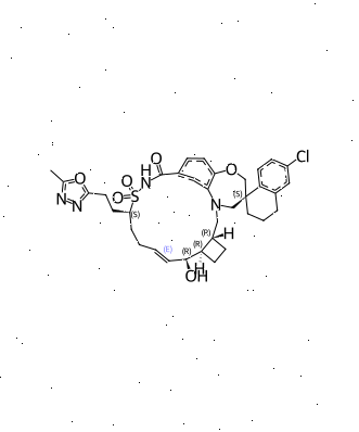 Cc1nnc(CC[C@@H]2CC/C=C/[C@H](O)[C@@H]3CC[C@H]3CN3C[C@@]4(CCCc5cc(Cl)ccc54)COc4ccc(cc43)C(=O)NS2(=O)=O)o1